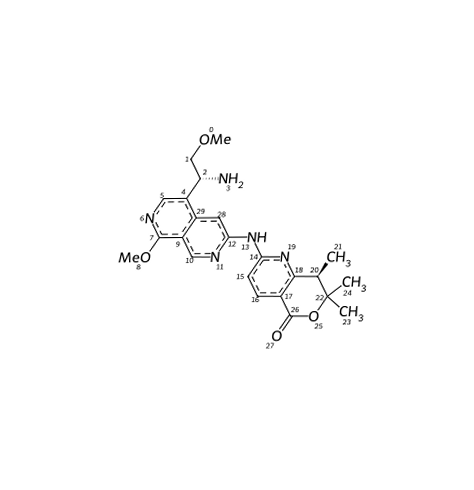 COC[C@H](N)c1cnc(OC)c2cnc(Nc3ccc4c(n3)[C@@H](C)C(C)(C)OC4=O)cc12